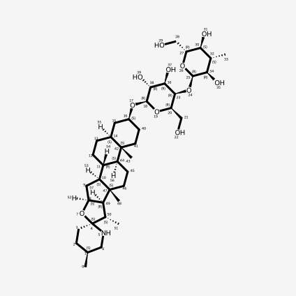 C[C@H]1CC[C@]2(NC1)O[C@H]1C[C@H]3[C@@H]4CC[C@H]5C[C@@H](O[C@@H]6O[C@H](CO)[C@H](O[C@H]7O[C@H](CO)[C@@H](O)[C@H](C)[C@H]7O)[C@H](O)[C@H]6O)CC[C@]5(C)[C@H]4CC[C@]3(C)[C@H]1[C@@H]2C